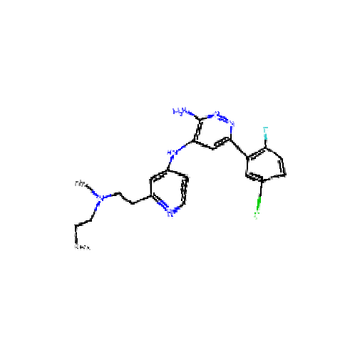 CCCN(CCNC)CCc1cc(Nc2cc(-c3cc(Cl)ccc3F)nnc2N)ccn1